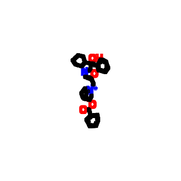 O=C(OC1C[N+]2(Cc3cnc([C@](O)(c4ccccc4)C4CCCCC4)o3)CCC1CC2)c1ccccc1